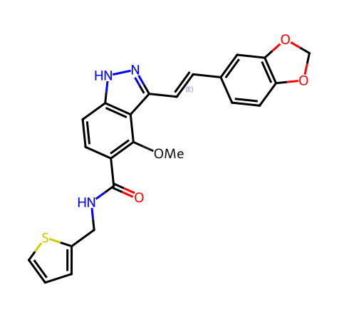 COc1c(C(=O)NCc2cccs2)ccc2[nH]nc(/C=C/c3ccc4c(c3)OCO4)c12